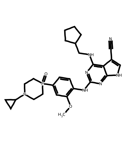 COc1cc(P2(=O)CCN(C3CC3)CC2)ccc1Nc1nc(NCC2CCCC2)c2c(C#N)c[nH]c2n1